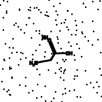 NCC(=O)O.[KH]